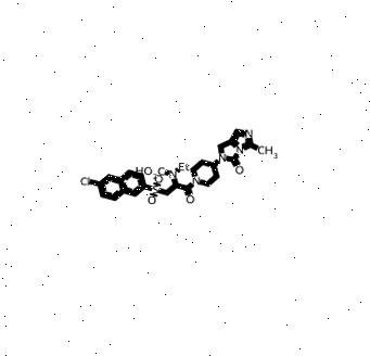 CCN(C(=O)O)C(CS(=O)(=O)c1ccc2cc(Cl)ccc2c1)C(=O)N1CCC(N2Cc3cnc(C)n3C2=O)CC1